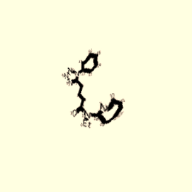 CCN(C(=O)CCCc1nnnn1-c1ccccc1)c1ccccn1